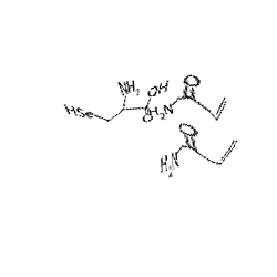 C=CC(N)=O.C=CC(N)=O.NC(C[SeH])C(=O)O